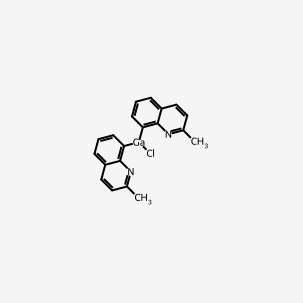 Cc1ccc2ccc[c]([Ga]([Cl])[c]3cccc4ccc(C)nc34)c2n1